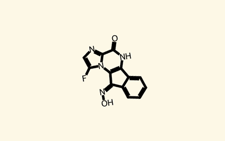 O=c1[nH]c2c(n3c(F)cnc13)C(=NO)c1ccccc1-2